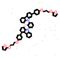 c1coc(OCCCOc2ccc(-c3ccc4c5cccc6c5n(c4c3)-c3cccc4c3B6c3ccc(-c5ccc(OCCCOc6ccco6)cc5)c5c6ccccc6n-4c35)cc2)c1